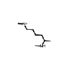 [CH2]C(CCCCNC)NC